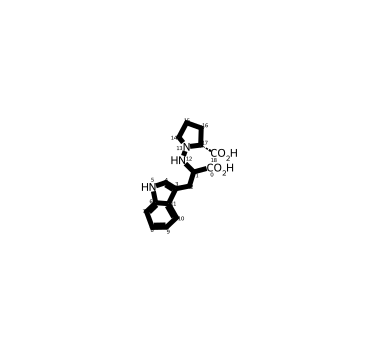 O=C(O)C(Cc1c[nH]c2ccccc12)NN1CCC[C@@H]1C(=O)O